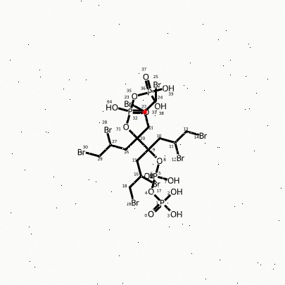 O=P(O)(O)OP(=O)(O)OC(CC(Br)CBr)(CC(Br)CBr)C(CC(Br)CBr)(CC(Br)CBr)OP(=O)(O)OP(=O)(O)O